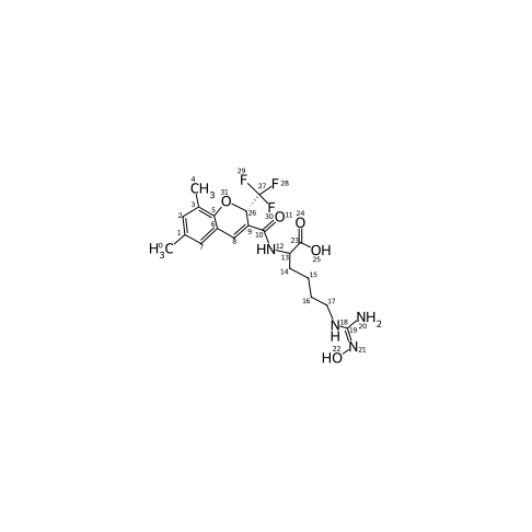 Cc1cc(C)c2c(c1)C=C(C(=O)NC(CCCCN/C(N)=N\O)C(=O)O)[C@@H](C(F)(F)F)O2